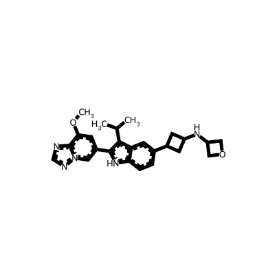 COc1cc(-c2[nH]c3ccc(C4CC(NC5COC5)C4)cc3c2C(C)C)cn2ncnc12